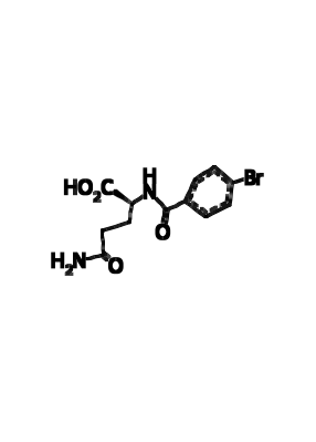 NC(=O)CC[C@H](NC(=O)c1ccc(Br)cc1)C(=O)O